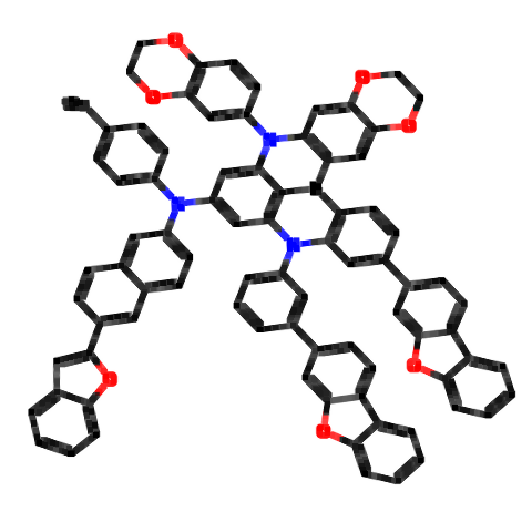 CC(C)(C)c1ccc(N(c2cc3c4c(c2)N(c2ccc5c(c2)OCCO5)c2cc5c(cc2B4c2ccc(-c4ccc6c(c4)oc4ccccc46)cc2N3c2cccc(-c3ccc4c(c3)oc3ccccc34)c2)OCCO5)c2ccc3cc(-c4cc5ccccc5o4)ccc3c2)cc1